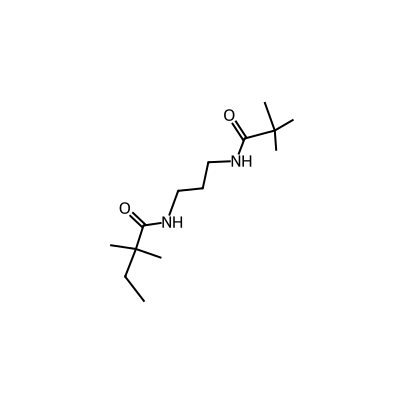 CCC(C)(C)C(=O)NCCCNC(=O)C(C)(C)C